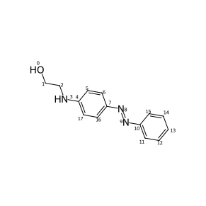 OCCNc1ccc(N=Nc2ccccc2)cc1